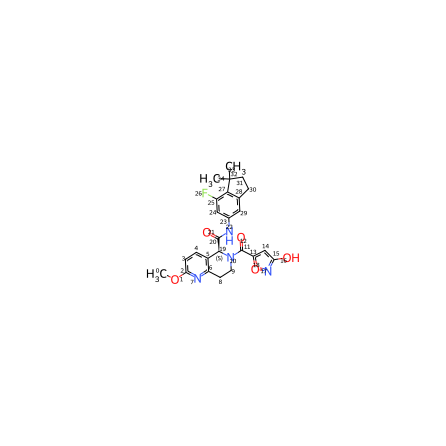 COc1ccc2c(n1)CCN(C(=O)c1cc(O)no1)[C@@H]2C(=O)Nc1cc(F)c2c(c1)CCC2(C)C